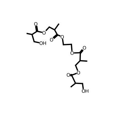 CC(CO)C(=O)OCC(C)C(=O)OCCOC(=O)C(C)COC(=O)C(C)CO